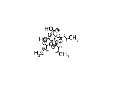 CCCC(=O)O[C@H]1[C@H](OC(=O)CCC)[C@@H](OC(=O)CCC)C(O)O[C@@H]1C(=O)O